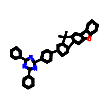 CC1(C)c2cc(-c3ccc(-c4nc(-c5ccccc5)nc(-c5ccccc5)n4)cc3)ccc2-c2cc3oc4ccccc4c3cc21